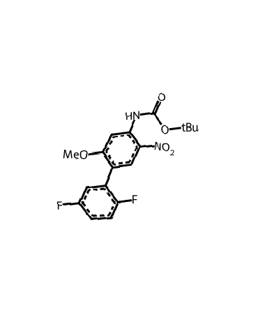 COc1cc(NC(=O)OC(C)(C)C)c([N+](=O)[O-])cc1-c1cc(F)ccc1F